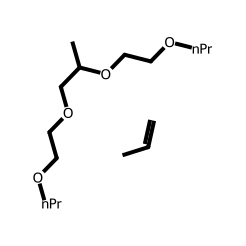 C=CC.CCCOCCOCC(C)OCCOCCC